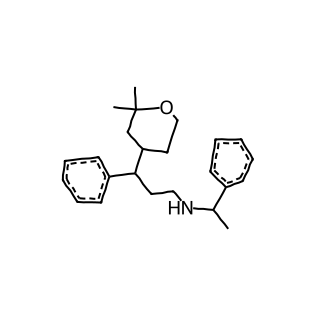 CC(NCCC(c1ccccc1)C1CCOC(C)(C)C1)c1ccccc1